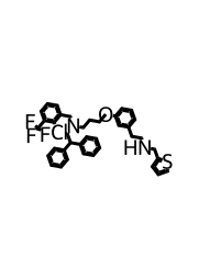 FC(F)(F)c1cccc(CN(CCCOc2cccc(CCNCc3cccs3)c2)CC(c2ccccc2)c2ccccc2)c1Cl